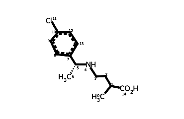 CC(CCN[C@H](C)c1ccc(Cl)cc1)C(=O)O